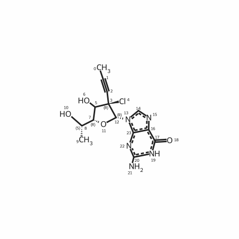 CC#C[C@@]1(Cl)C(O)[C@@H]([C@H](C)O)O[C@H]1n1cnc2c(=O)[nH]c(N)nc21